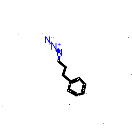 [N-]=[N+]=NCCCc1cc[c]cc1